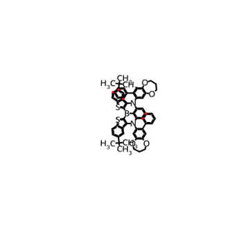 CC(C)(C)c1ccc2sc3c(c2c1)N(c1cc2c(cc1-c1ccccc1)OCCCO2)c1cccc2c1B3c1sc3ccc(C(C)(C)C)cc3c1N2c1cc2c(cc1-c1ccccc1)OCCCO2